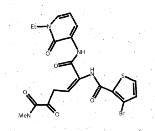 CCn1cccc(NC(=O)/C(=C\CC(=O)C(=O)NC)NC(=O)c2sccc2Br)c1=O